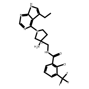 CCc1c[nH]c2ncnc(N3CC[C@](N)(CNC(=O)c4cccc(C(F)(F)F)c4Cl)C3)c12